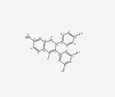 CC1=C(c2cc(F)cc(F)c2)C(c2ccc(I)cc2)Oc2cc(O)ccc21